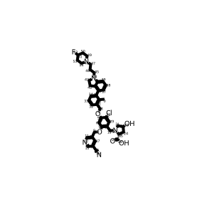 Cc1c(COc2cc(OCc3cncc(C#N)c3)c(CN3CC(O)C[C@@H]3C(=O)O)cc2Cl)cccc1-c1cccc2c1CCN2CCCN1CCC(F)CC1